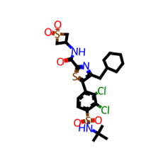 CC(C)(C)NS(=O)(=O)c1ccc(-c2sc(C(=O)NC3CS(=O)(=O)C3)nc2CC2CCCCC2)c(Cl)c1Cl